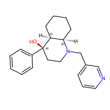 O[C@]1(c2ccccc2)CCN(Cc2cccnc2)[C@@H]2CCCC[C@@H]21